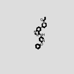 C=CC(=O)N1CCC[C@H](c2ccc3ncnc(Nc4ccc(Oc5ccccc5)nc4)c3c2)C1